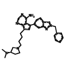 CN(C)[C@@H]1CCN(CCCCc2cc(-c3ccc4cn(Cc5ccccc5)nc4c3)c3c(N)ncnn23)C1